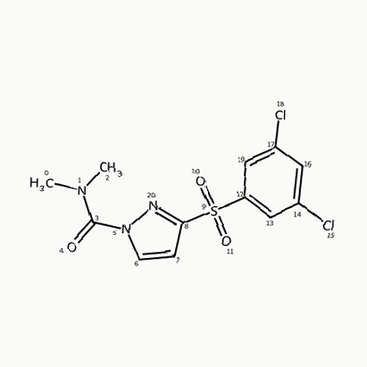 CN(C)C(=O)n1ccc(S(=O)(=O)c2cc(Cl)cc(Cl)c2)n1